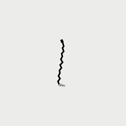 C#CCCCCCCCCCCCCCCCCCCCCCCCC